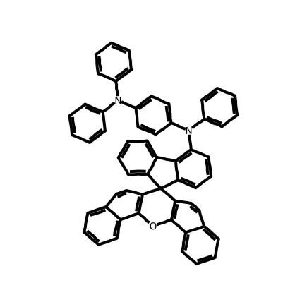 c1ccc(N(c2ccccc2)c2ccc(N(c3ccccc3)c3cccc4c3-c3ccccc3C43c4ccc5ccccc5c4Oc4c3ccc3ccccc43)cc2)cc1